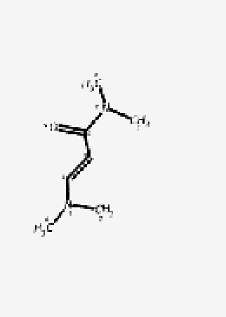 CN(C)C=CC(=O)N(C)C